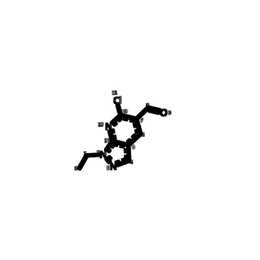 CCn1ncc2cc(C=O)c(Cl)nc21